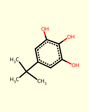 CC(C)(C)c1cc(O)c(O)c(O)c1